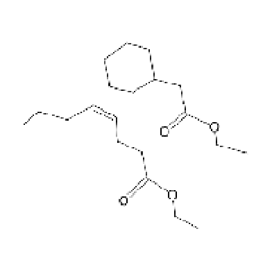 CCC/C=C\CCC(=O)OCC.CCOC(=O)CC1CCCCC1